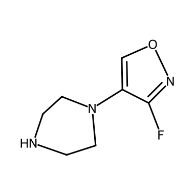 Fc1nocc1N1CCNCC1